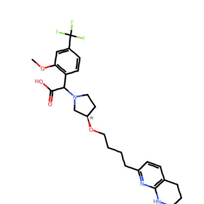 COc1cc(C(F)(F)F)ccc1C(C(=O)O)N1CC[C@@H](OCCCCc2ccc3c(n2)NCCC3)C1